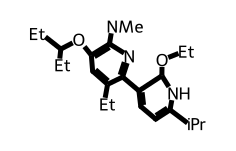 CCOC1NC(C(C)C)=CC=C1c1nc(NC)c(OC(CC)CC)cc1CC